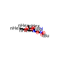 CCCCCCC(CCCCCC)CCCOC(=O)CCCCCN(CCOCCNC(=O)OC(C)(C)C)C(CCCC)C(=O)OCCCC(CCCCCC)CCCCCC